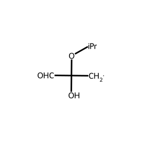 [CH2]C(O)(C=O)OC(C)C